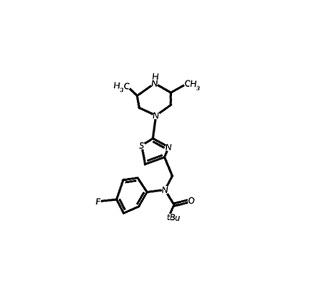 CC1CN(c2nc(CN(C(=O)C(C)(C)C)c3ccc(F)cc3)cs2)CC(C)N1